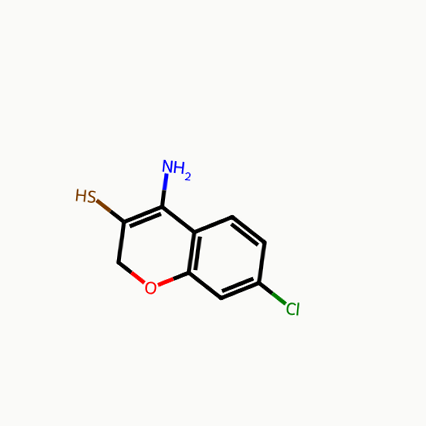 NC1=C(S)COc2cc(Cl)ccc21